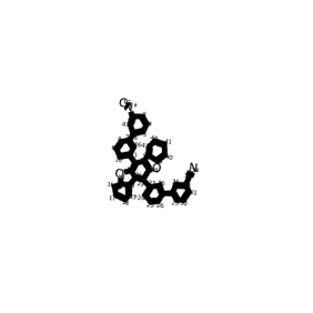 [C-]#[N+]c1cccc(-c2cccc(-c3c4oc5ccccc5c4c(-c4cccc(-c5cccc(C#N)c5)c4)c4oc5ccccc5c34)c2)c1